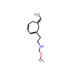 C/C=C1\CC=CC=C(CCNCOC)C1